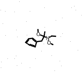 CCN(OC)C(C)(Cc1ccccc1)OC